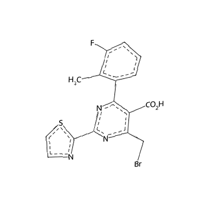 Cc1c(F)cccc1-c1nc(-c2nccs2)nc(CBr)c1C(=O)O